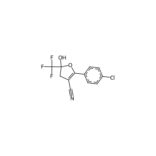 N#CC1=C(c2ccc(Cl)cc2)OC(O)(C(F)(F)F)C1